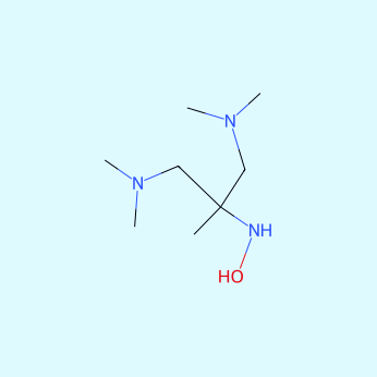 CN(C)CC(C)(CN(C)C)NO